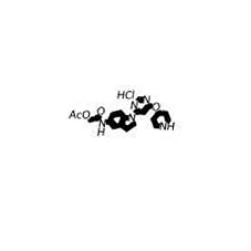 CC(=O)OCC(=O)Nc1ccc2c(c1)CCN2c1cc(OC2CCNCC2)ncn1.Cl